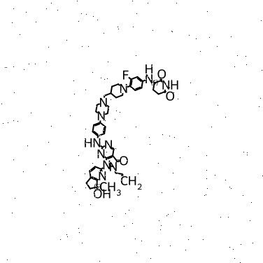 C=CCn1c(=O)c2cnc(Nc3ccc(N4CCN(CC5CCN(c6ccc(N[C@H]7CCC(=O)NC7=O)cc6F)CC5)CC4)cc3)nc2n1-c1ccc2c(n1)[C@@](C)(O)CC2